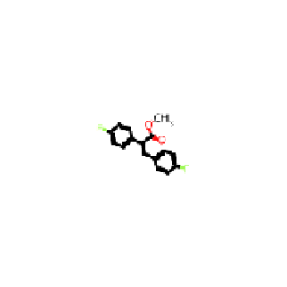 COC(=O)C(Cc1ccc(F)cc1)c1ccc(F)cc1